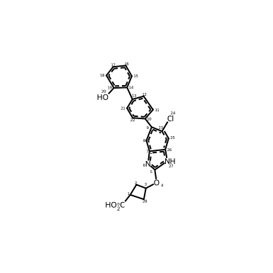 O=C(O)C1CC(Oc2nc3cc(-c4ccc(-c5ccccc5O)cc4)c(Cl)cc3[nH]2)C1